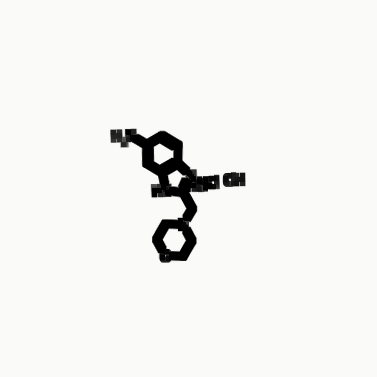 Cl.Cl.Cl.Nc1ccc2nc(CN3CCOCC3)[nH]c2c1